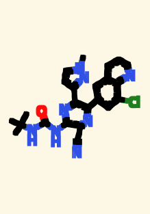 Cn1ccc(-c2nc(NC(=O)NC(C)(C)C)c(C#N)nc2-c2cc(Cl)c3ncccc3c2)n1